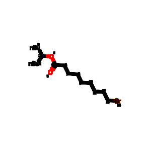 CCCCC(CCCC)OC(=O)CCCCCCCCBr